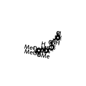 COc1cc(Nc2nccc(N3CCCC(C(=O)NCc4cccc(Cl)c4)C3)n2)cc(OC)c1OC